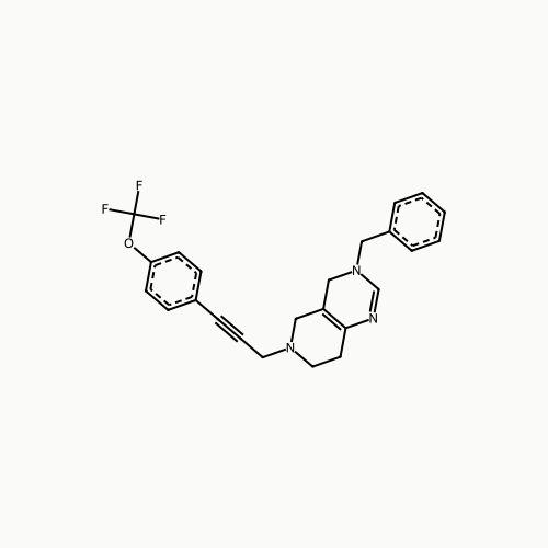 FC(F)(F)Oc1ccc(C#CCN2CCC3=C(CN(Cc4ccccc4)C=N3)C2)cc1